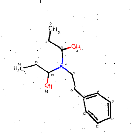 CCC(O)N(CCc1ccccc1)C(O)CC